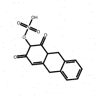 O=C1[C]=C2Cc3ccccc3CC2C(=O)C1OS(=O)(=O)O